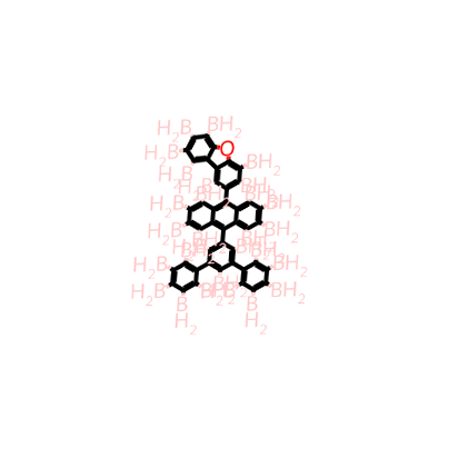 Bc1c(B)c(B)c(-c2c(B)c(-c3c(B)c(B)c(B)c(B)c3B)c(B)c(-c3c4c(B)c(B)c(B)c(B)c4c(-c4c(B)c(B)c5oc6c(B)c(B)c(B)c(B)c6c5c4B)c4c(B)c(B)c(B)c(B)c34)c2B)c(B)c1B